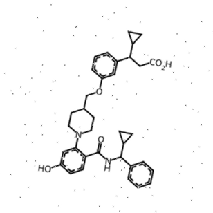 O=C(O)CC(c1cccc(OCC2CCN(c3cc(O)ccc3C(=O)NC(c3ccccc3)C3CC3)CC2)c1)C1CC1